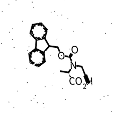 C#CCN(C(=O)OCC1c2ccccc2-c2ccccc21)[C@@H](C)C(=O)O